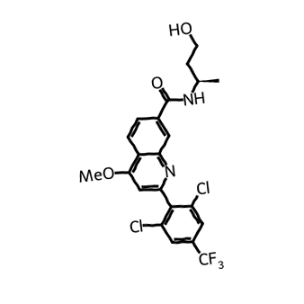 COc1cc(-c2c(Cl)cc(C(F)(F)F)cc2Cl)nc2cc(C(=O)N[C@H](C)CCO)ccc12